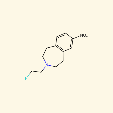 O=[N+]([O-])c1ccc2c(c1)CCN(CCF)CC2